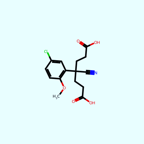 COc1ccc(Cl)cc1C(C#N)(CCC(=O)O)CCC(=O)O